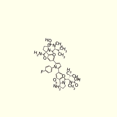 CC(C)[C@@H](C(=O)N1CCC[C@@]1(C(N)=O)c1ccc(-c2ccc(-c3ccc([C@]4(C(N)=O)CCCN4C(=O)[C@H](C(C)C)N(C)C(=O)O)cc3)n2-c2ccc(F)cc2)cc1)N(C)C(=O)O